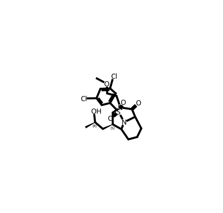 COCCN1C[C@H](C[C@@H](C)O)C2CCCC(C1=O)N2S(=O)(=O)c1cc(Cl)cc(Cl)c1